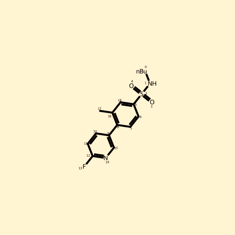 CCCCNS(=O)(=O)c1ccc(-c2ccc(F)nc2)c(C)c1